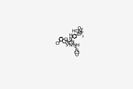 FC(F)(F)c1ccc(Nc2nc(NCCN3CCOCC3)nc3sc(Cc4c(Cl)cccc4Cl)nc23)cc1.O=C(O)C(F)(F)F